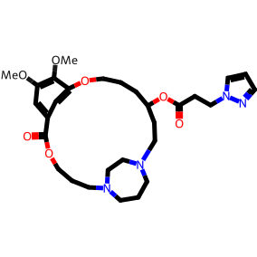 COc1cc2cc(c1OC)OCCCC(OC(=O)CCn1cccn1)CCN1CCCN(CCCOC2=O)CC1